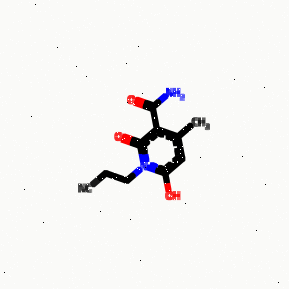 Cc1cc(O)n(CCC#N)c(=O)c1C(N)=O